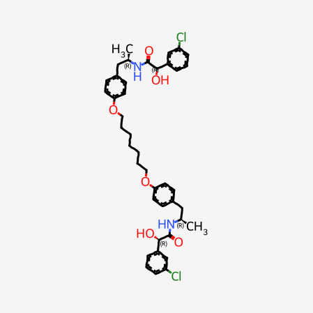 C[C@H](Cc1ccc(OCCCCCCCOc2ccc(C[C@@H](C)NC(=O)[C@H](O)c3cccc(Cl)c3)cc2)cc1)NC(=O)[C@H](O)c1cccc(Cl)c1